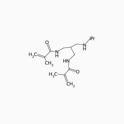 C=C(C)C(=O)NCC(CNC(=O)C(=C)C)CNC(C)C